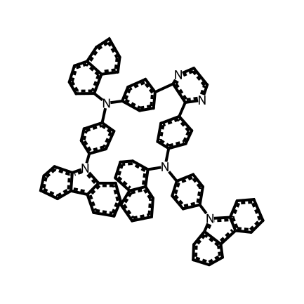 c1ccc2c(N(c3ccc(-c4nccnc4-c4ccc(N(c5ccc(-n6c7ccccc7c7ccccc76)cc5)c5cccc6ccccc56)cc4)cc3)c3ccc(-n4c5ccccc5c5ccccc54)cc3)cccc2c1